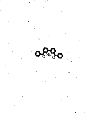 O=C(c1ccccc1)c1cccc2c1nnc1c(C(=O)c3ccccc3)cccc12